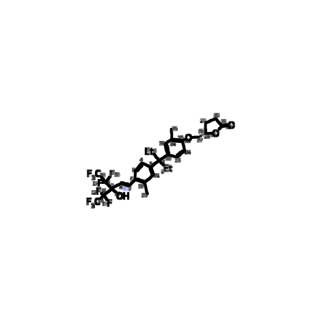 CCC(CC)(c1ccc(/C=C/C(O)(C(F)(F)C(F)(F)F)C(F)(F)C(F)(F)F)c(C)c1)c1ccc(OC[C@@H]2CCC(=O)O2)c(C)c1